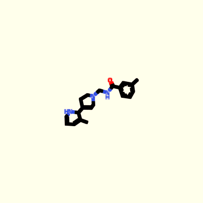 CC1=CC=CNC1C1=CCN(CNC(=O)c2cccc(C)c2)CC1